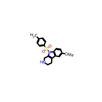 COc1ccc2c(c1)c1c(n2S(=O)(=O)c2ccc(C)cc2)CNCC1